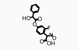 O=NC(C(=O)O)c1ccc(OC(=O)C(O)c2ccccc2)cc1F